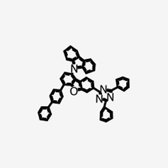 c1ccc(-c2ccc(-c3ccc(-n4c5ccccc5c5ccccc54)c4c3oc3cc(-c5nc(-c6ccccc6)nc(-c6ccccc6)n5)ccc34)cc2)cc1